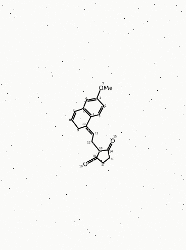 COc1ccc2c(c1)C=CCC2=CCC1C(=O)CCC1=O